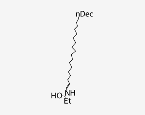 CCCCCCCCCCCCCCCCCCCCCCCCCCC=CNC(O)CC